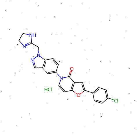 Cl.O=c1c2cc(-c3ccc(Cl)cc3)oc2ccn1-c1ccc2c(cnn2CC2=NCCN2)c1